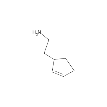 NCCC1C=CCC1